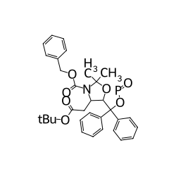 CC(C)(C)OC(=O)CC1C(C(OP=O)(c2ccccc2)c2ccccc2)OC(C)(C)N1C(=O)OCc1ccccc1